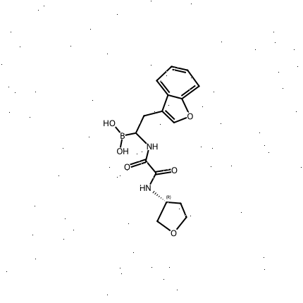 O=C(NC(Cc1coc2ccccc12)B(O)O)C(=O)N[C@@H]1CCOC1